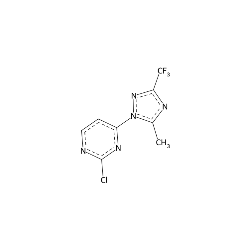 Cc1nc(C(F)(F)F)nn1-c1ccnc(Cl)n1